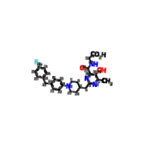 Cc1nc(CC2CCN(c3ccc(Cc4ccc(F)cc4)cc3)CC2)nc(C(=O)NCC(=O)O)c1O